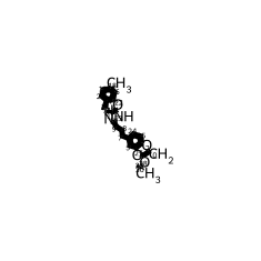 C=C(Oc1ccc(CCCc2nn(Cc3ccc(C)cc3)c(=O)[nH]2)cc1)C(=O)OCC